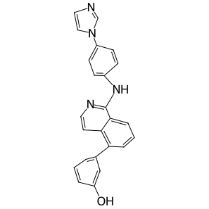 Oc1cccc(-c2cccc3c(Nc4ccc(-n5ccnc5)cc4)nccc23)c1